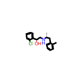 Cc1ccccc1C[C@@H](C)NC[C@H](O)c1ccccc1Cl